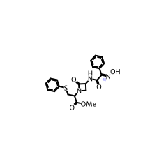 COC(=O)C(CSc1ccccc1)N1CC(NC(=O)/C(=N/O)c2ccccc2)C1=O